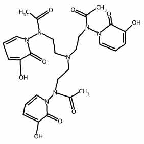 CC(=O)N(CCN(CCN(C(C)=O)n1cccc(O)c1=O)CCN(C(C)=O)n1cccc(O)c1=O)n1cccc(O)c1=O